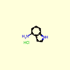 Cl.Nc1cccc2[nH]ccc12